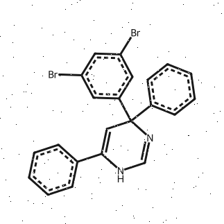 Brc1cc(Br)cc(C2(c3ccccc3)C=C(c3ccccc3)NC=N2)c1